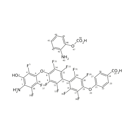 Nc1c(O)c(F)c(Oc2c(F)c(F)c(-c3c(F)c(F)c(Oc4ccc(C(=O)O)cc4)c(F)c3F)c(F)c2F)c(F)c1F.Nc1ccccc1OC(=O)O